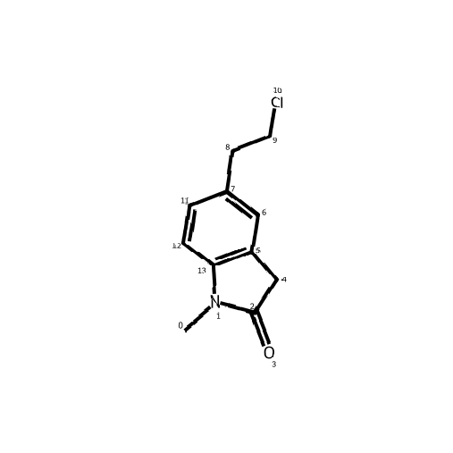 CN1C(=O)Cc2cc(CCCl)ccc21